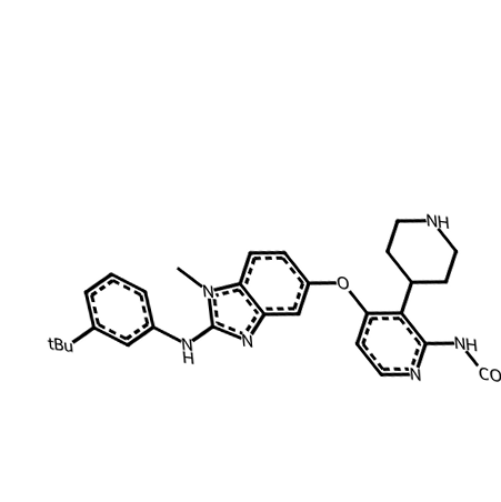 Cn1c(Nc2cccc(C(C)(C)C)c2)nc2cc(Oc3ccnc(NC(=O)O)c3C3CCNCC3)ccc21